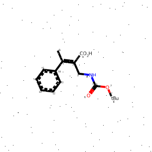 C/C(=C(/CNC(=O)OC(C)(C)C)C(=O)O)c1ccccc1